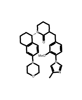 COc1cc(CC2CCCN([C@H]3CCCc4cc(N5CCOCC5)ccc43)C2=O)ccc1-n1cnc(C)c1